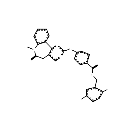 CN1C(=O)Cc2cnc(Nc3ccc(C(=O)NCc4cc(F)ccc4F)cc3)nc2-c2ccccc21